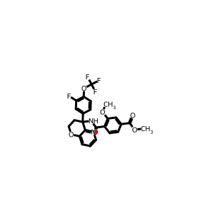 COC(=O)c1ccc(C(=O)NC2(c3ccc(OC(F)(F)F)c(F)c3)CCOc3cccnc32)c(OC)c1